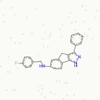 Fc1ccc(CNc2ccc3c(c2)Cc2c(-c4ccccc4)n[nH]c2-3)cc1